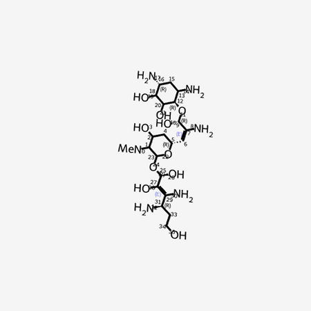 CNC1C(O)C[C@H](/C=C(/N)[C@H](O)O[C@@H]2C(N)C[C@@H](N)C(O)C2O)OC1O[C@@H](O)/C(O)=C(\N)[C@H](N)CCO